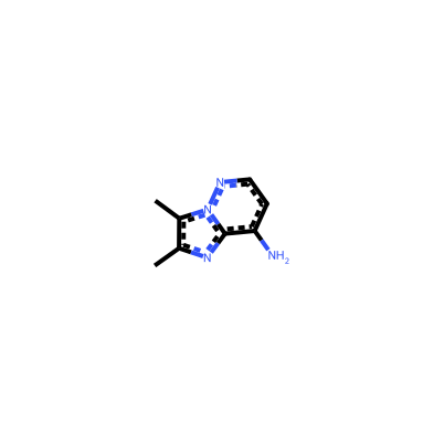 Cc1nc2c(N)ccnn2c1C